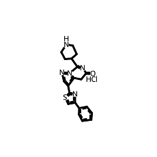 Cl.O=C1Cc2c(-c3nc(-c4ccccc4)cs3)cnn2C(C2CCNCC2)=N1